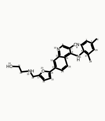 Cc1ccc(Nc2c(C#N)cnc3cc(-c4ccc(CNCCO)o4)ccc23)c(C)c1